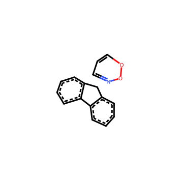 C1=COON=C1.c1ccc2c(c1)Cc1ccccc1-2